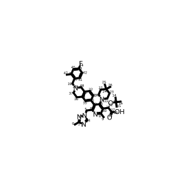 Cc1ncn(Cc2nc(C)c([C@H](OC(C)(C)C)C(=O)O)c(N3CCC(C)(C)CC3)c2-c2ccc3c(c2)CCN(Cc2ccc(F)cc2C)C3)n1